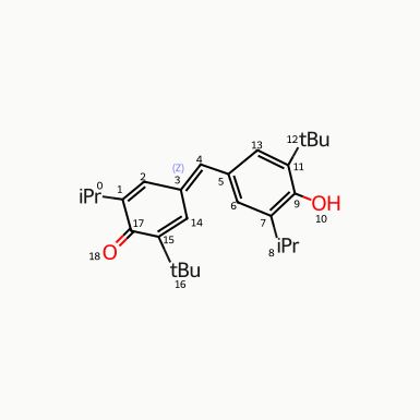 CC(C)C1=C/C(=C/c2cc(C(C)C)c(O)c(C(C)(C)C)c2)C=C(C(C)(C)C)C1=O